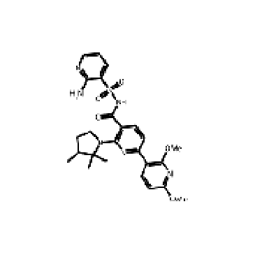 COc1ccc(-c2ccc(C(=O)NS(=O)(=O)c3cccnc3N)c(N3CCC(C)C3(C)C)n2)c(OC)n1